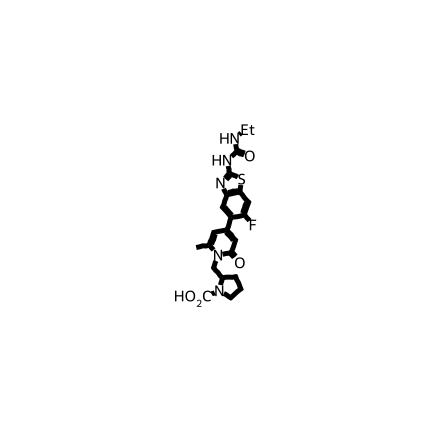 CCNC(=O)Nc1nc2cc(-c3cc(C)n(CC4CCCN4C(=O)O)c(=O)c3)c(F)cc2s1